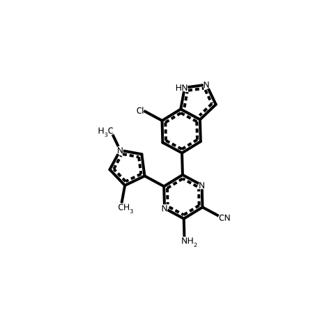 Cc1cn(C)cc1-c1nc(N)c(C#N)nc1-c1cc(Cl)c2[nH]ncc2c1